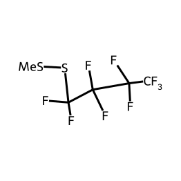 CSSC(F)(F)C(F)(F)C(F)(F)C(F)(F)F